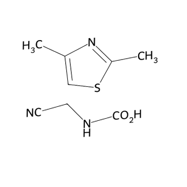 Cc1csc(C)n1.N#CCNC(=O)O